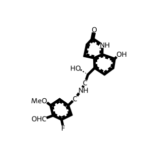 COc1cc(CNC[C@H](O)c2ccc(O)c3[nH]c(=O)ccc23)cc(F)c1C=O